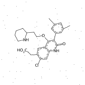 Cc1cc(C)cc(-c2c(OCCC3CCCCN3)c3cc(CC(=O)O)c(Cl)cc3[nH]c2=O)c1